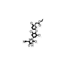 CCOC(=O)Cn1nc(Oc2c(Cl)cc(-n3nc(C#N)c(=O)[nH]c3=O)cc2Cl)ccc1=O